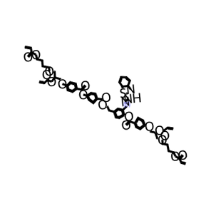 C=CC(=O)OCCCCOCC(COc1ccc(C(=O)Oc2ccc(C(=O)OCCc3ccc(OC(=O)c4ccc(OCC(COCCCCOC(=O)C=C)OC(=O)C=C)cc4)c(/C=N/NC4=NC5C=CC=CC5S4)c3)cc2)cc1)OC(=O)C=C